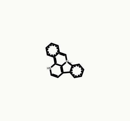 [O-][N+]12C=c3ccccc3=C3NC=CC(=C31)c1ccccc12